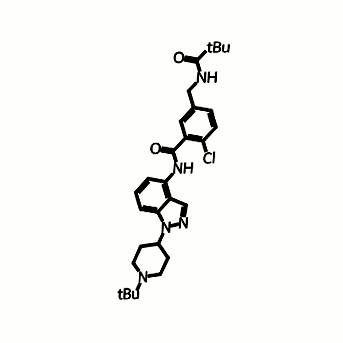 CC(C)(C)C(=O)NCc1ccc(Cl)c(C(=O)Nc2cccc3c2cnn3C2CCN(C(C)(C)C)CC2)c1